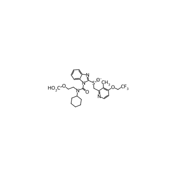 Cc1c(OCC(F)(F)F)ccnc1C[S@@+]([O-])c1nc2ccccc2n1C(=O)N(CCOC(=O)O)C1CCCCC1